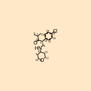 CC(C)C(=O)[C@H](CNC1CCOCC1)c1ccc(Cl)cc1